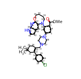 COC(=O)c1ccc(N2CCN(CC3=C(c4ccc(Cl)cc4)CC(C)(C)CC3)CC2)cc1N1CCCCOc2nc3[nH]ccc3cc21